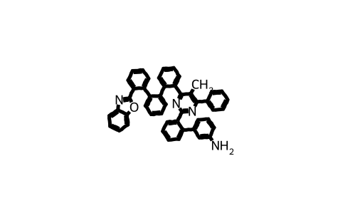 Cc1c(-c2ccccc2)nc(-c2ccccc2-c2cccc(N)c2)nc1-c1ccccc1-c1ccccc1-c1ccccc1-c1nc2ccccc2o1